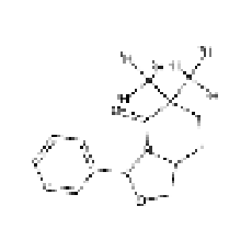 [2H]C([2H])([2H])C1(C([2H])([2H])[2H])CCC2COC(c3ccccc3)N2C1=O